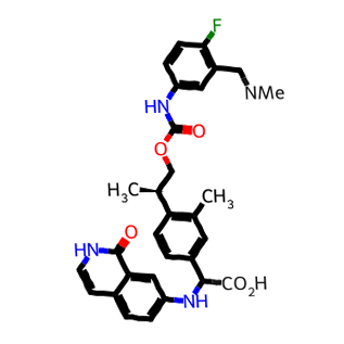 CNCc1cc(NC(=O)OC[C@H](C)c2ccc(C(Nc3ccc4cc[nH]c(=O)c4c3)C(=O)O)cc2C)ccc1F